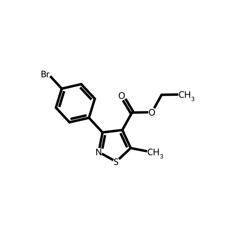 CCOC(=O)c1c(-c2ccc(Br)cc2)nsc1C